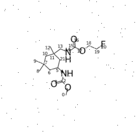 COC(=O)NC1CC(C)(C)CC(C)(CNC(=O)OCCF)C1